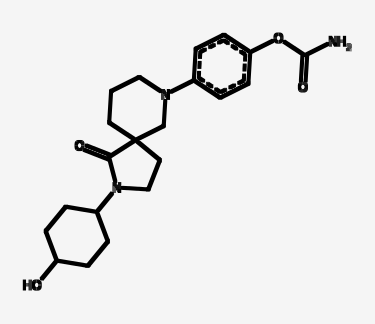 NC(=O)Oc1ccc(N2CCCC3(CCN(C4CCC(O)CC4)C3=O)C2)cc1